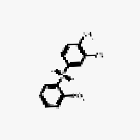 N#Cc1cc(S(=O)(=O)c2ccccc2[N+](=O)[O-])ccc1N